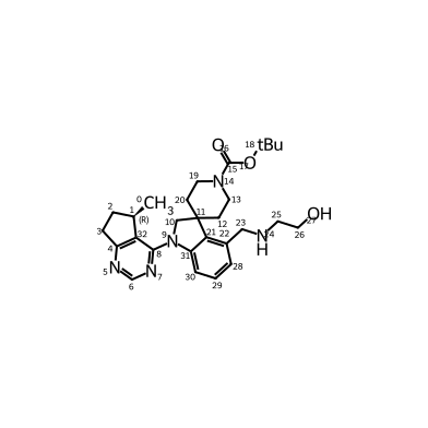 C[C@@H]1CCc2ncnc(N3CC4(CCN(C(=O)OC(C)(C)C)CC4)c4c(CNCCO)cccc43)c21